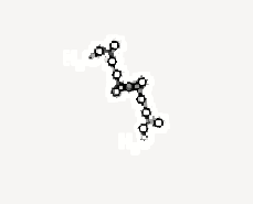 COc1cccc(N(c2ccccc2)c2ccc(-c3ccc(-n4c5ccccc5c5cc6c(cc54)c4ccccc4n6-c4ccc(-c5ccc(N(c6ccccc6)c6cccc(OC)c6)cc5)cc4)cc3)cc2)c1